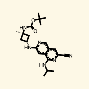 CC(C)Nc1nc(C#N)cc2cnc(N[C@H]3C[C@](C)(NC(=O)OC(C)(C)C)C3)cc12